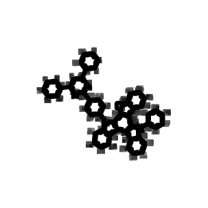 c1ccc(-c2cc(-c3ccccc3)nc(-c3ccc(-n4c5ccccc5c5c6c7ccccc7n(-c7ccccc7)c6c6c7ccccc7oc6c54)cc3)n2)cc1